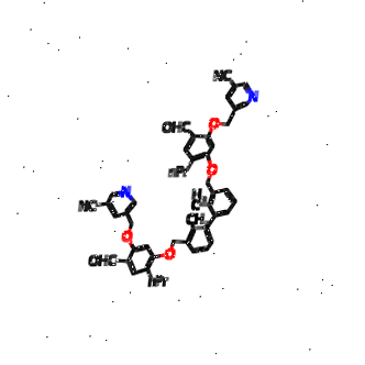 CCCc1cc(C=O)c(OCc2cncc(C#N)c2)cc1OCc1cccc(-c2cccc(COc3cc(OCc4cncc(C#N)c4)c(C=O)cc3CCC)c2C)c1C